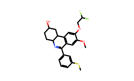 COc1cc2c(cc1OCC(F)F)C1CC(O)CCC1N=C2c1cccc(SC)c1